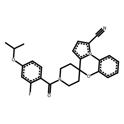 CC(C)Oc1ccc(C(=O)N2CCC3(CC2)Oc2ccccc2-n2c(C#N)ccc23)c(F)c1